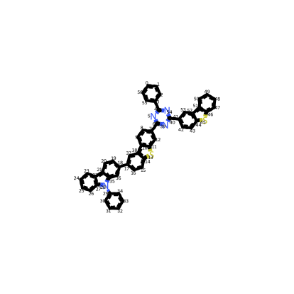 c1ccc(-c2nc(-c3ccc4c(c3)sc3ccc(-c5ccc6c7ccccc7n(-c7ccccc7)c6c5)cc34)nc(-c3ccc4sc5ccccc5c4c3)n2)cc1